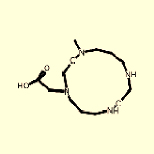 CN1CCCNCCNCCCN(CC(=O)O)CC1